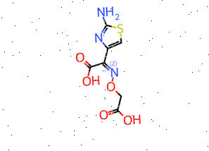 Nc1nc(/C(=N/OCC(=O)O)C(=O)O)cs1